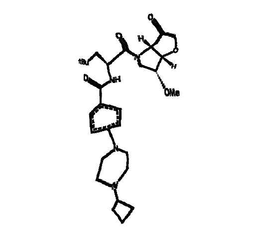 CO[C@@H]1CN(C(=O)[C@H](CC(C)(C)C)NC(=O)c2ccc(N3CCN(C4CCC4)CC3)cc2)[C@@H]2C(=O)CO[C@@H]21